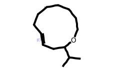 CC(C)C1C/C=C/CC[CH]CCCCO1